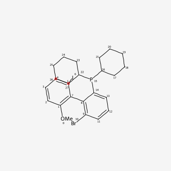 COc1cccc(I)c1-c1c(Br)cccc1P(C1CCCCC1)C1CCCCC1